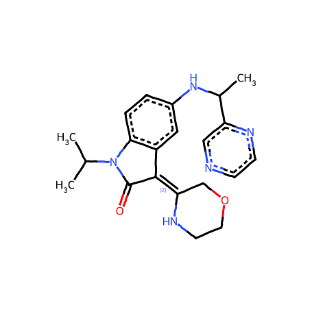 CC(Nc1ccc2c(c1)/C(=C1\COCCN1)C(=O)N2C(C)C)c1cnccn1